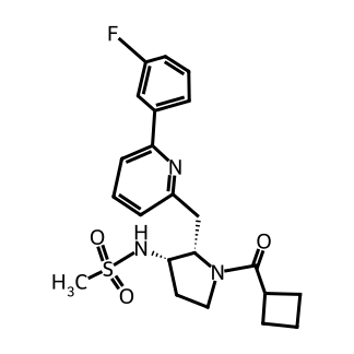 CS(=O)(=O)N[C@H]1CCN(C(=O)C2CCC2)[C@H]1Cc1cccc(-c2cccc(F)c2)n1